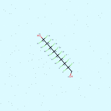 OCC(F)(F)C(F)(F)C(F)(F)C(F)(F)C(F)(F)C(F)(F)C(F)(F)C(O)(F)F